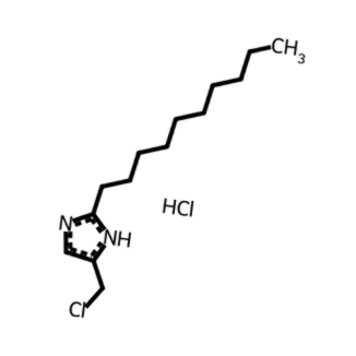 CCCCCCCCCCc1ncc(CCl)[nH]1.Cl